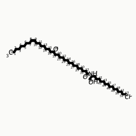 CCCCCCCC/C=C\CCCCCCCC(=O)CCCCCCCCCCCCCCC(=O)NC(CO)CCCCCCCCCCCCCCCC